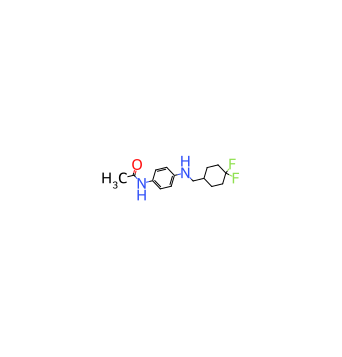 CC(=O)Nc1ccc(NCC2CCC(F)(F)CC2)cc1